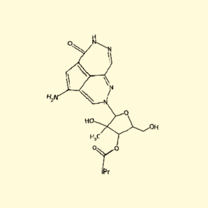 CC(C)C(=O)OC1C(CO)OC(n2cc3c(N)cc4c(=O)[nH]ncc(n2)c34)C1(C)O